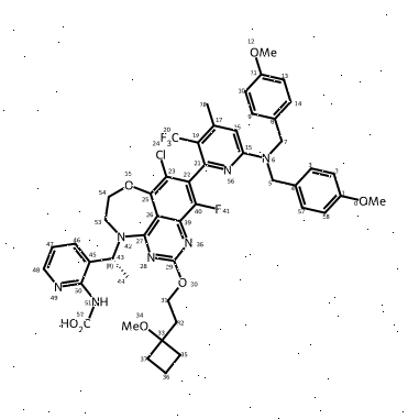 COc1ccc(CN(Cc2ccc(OC)cc2)c2cc(C)c(C(F)(F)F)c(-c3c(Cl)c4c5c(nc(OCCC6(OC)CCC6)nc5c3F)N([C@H](C)c3cccnc3NC(=O)O)CCO4)n2)cc1